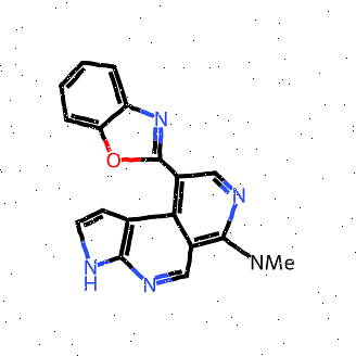 CNc1ncc(-c2nc3ccccc3o2)c2c1cnc1[nH]ccc12